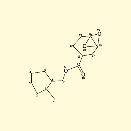 CC1CCCCC1COC(=O)C1CCC23OC2(C1)O3